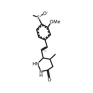 COc1cc(/C=C/C2NNC(=O)CC2C)ccc1[S+](C)[O-]